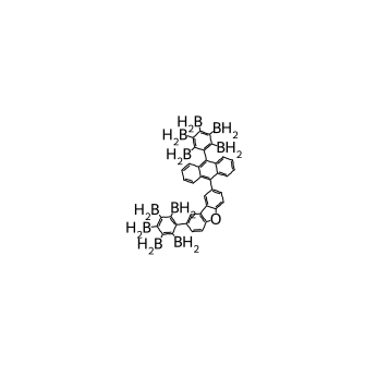 Bc1c(B)c(B)c(-c2ccc3oc4ccc(-c5c6ccccc6c(-c6c(B)c(B)c(B)c(B)c6B)c6ccccc56)cc4c3c2)c(B)c1B